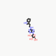 OC[C@H]1O[C@@H](n2cnc3c(NCCc4c[nH]c5ccccc45)ncnc32)[C@@H](O)C1O